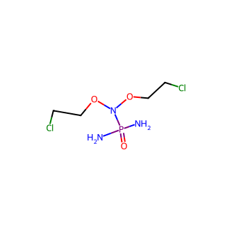 NP(N)(=O)N(OCCCl)OCCCl